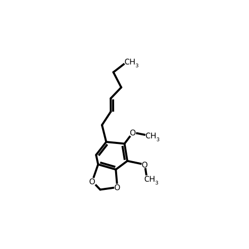 CCC/C=C/Cc1cc2c(c(OC)c1OC)OCO2